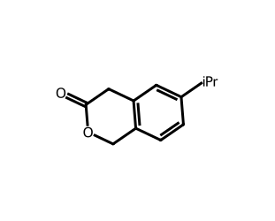 CC(C)c1ccc2c(c1)CC(=O)OC2